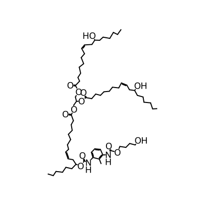 CCCCCCC(O)C/C=C\CCCCCCCC(=O)OCC(COC(=O)CCCCCCC/C=C\CC(CCCCCC)OC(=O)Nc1cccc(NC(=O)OCCCCO)c1C)OC(=O)CCCCCCC/C=C\CC(O)CCCCCC